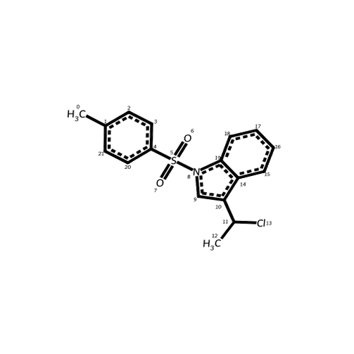 Cc1ccc(S(=O)(=O)n2cc(C(C)Cl)c3ccccc32)cc1